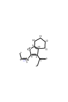 C=C(C)c1c(/N=C\C)sc2c1CCCC2